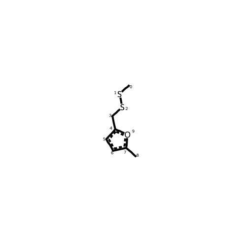 CSSCc1ccc(C)o1